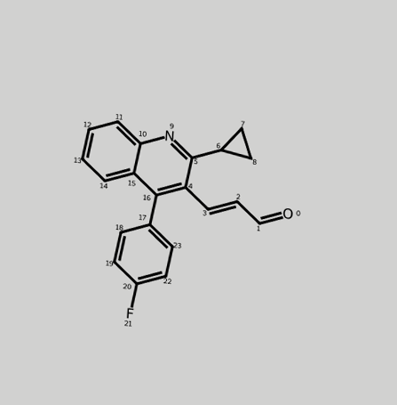 O=CC=Cc1c(C2CC2)nc2ccccc2c1-c1ccc(F)cc1